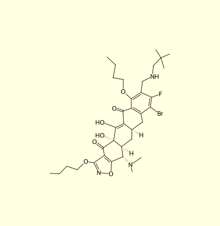 CCCCOc1noc2c1C(=O)[C@@]1(O)C(O)=C3C(=O)c4c(c(Br)c(F)c(CNCC(C)(C)C)c4OCCCC)C[C@H]3C[C@H]1[C@@H]2N(C)C